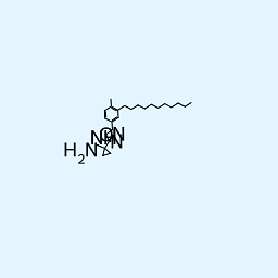 CCCCCCCCCCCc1cc(-c2nnc(C3(C(=N)N)CC3)o2)ccc1C